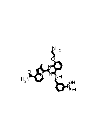 Cc1cc2c(C(N)=O)cccn2c1-c1nc(NCc2cccc(B(O)O)c2)c2cccc(OCCN)c2n1